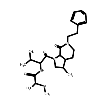 CNC(C)C(=O)NC(C(=O)N1CC(C)C2CCN(CCc3ccccc3)C(=O)C21)C(C)C